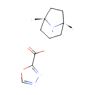 CN1[C@@H]2CC[C@H]1C[C@@H](OC(=O)c1nnco1)C2